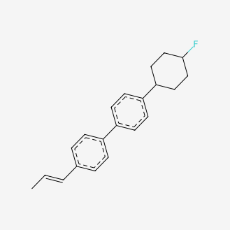 CC=Cc1ccc(-c2ccc(C3CCC(F)CC3)cc2)cc1